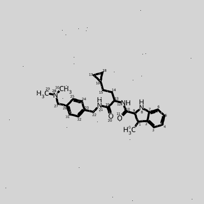 CC1c2ccccc2NC1C(=O)NC(CCC1CC1)C(=O)NCc1ccc(CN(C)C)cc1